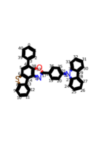 c1ccc(-c2cc3sc4ccccc4c3c3nc(-c4ccc(-n5c6ccccc6c6ccccc65)cc4)oc23)cc1